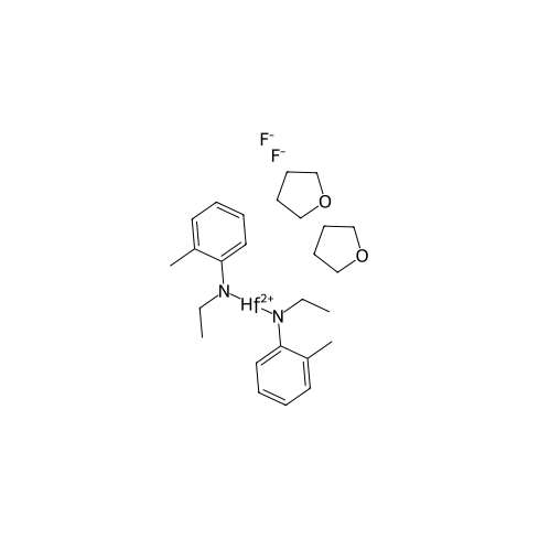 C1CCOC1.C1CCOC1.CC[N]([Hf+2][N](CC)c1ccccc1C)c1ccccc1C.[F-].[F-]